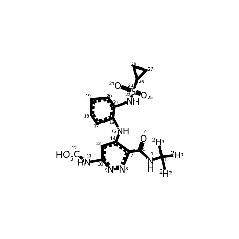 [2H]C([2H])([2H])NC(=O)c1nnc(NC(=O)O)cc1Nc1ccccc1NS(=O)(=O)C1CC1